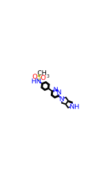 CS(=O)(=O)Nc1ccc(-c2ccc(N3CC4=CNCC4C3)nn2)cc1